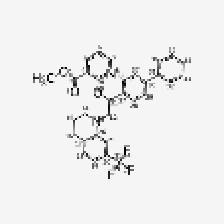 COC(=O)c1cccnc1OC(CN1CCCc2ccc(C(F)(F)F)cc21)c1ccc(-c2ccccc2)cc1